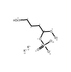 CCCCCCCCCCCC(OCC)OP(=O)([O-])[O-].[K+].[K+]